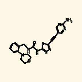 Nc1ncc(C#Cc2nnc(NC(=O)NCc3ccccc3N3CCOCC3)s2)cn1